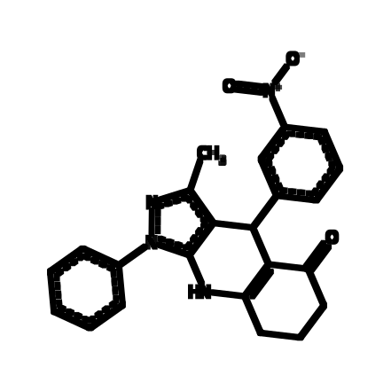 Cc1nn(-c2ccccc2)c2c1C(c1cccc([N+](=O)[O-])c1)C1=C(CCCC1=O)N2